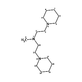 CN(CCN1CCCCC1)CCN1CCCCC1